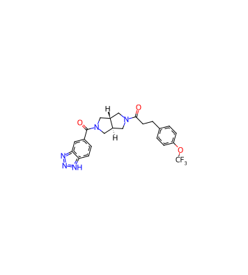 O=C(CCc1ccc(OC(F)(F)F)cc1)N1C[C@H]2CN(C(=O)c3ccc4[nH]nnc4c3)C[C@@H]2C1